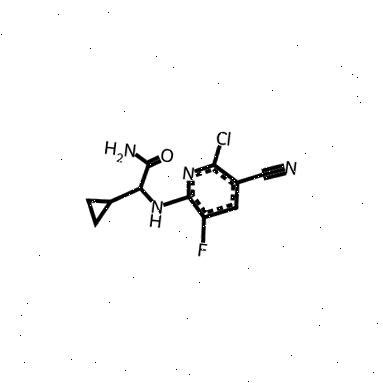 N#Cc1cc(F)c(NC(C(N)=O)C2CC2)nc1Cl